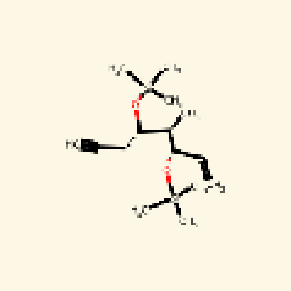 C#CC[C@H](O[Si](C)(C)C)[C@@H](C)[C@H](C=C)O[Si](C)(C)C